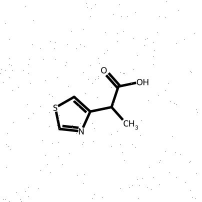 CC(C(=O)O)c1cscn1